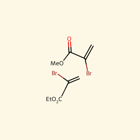 C=C(Br)C(=O)OC.C=C(Br)C(=O)OCC